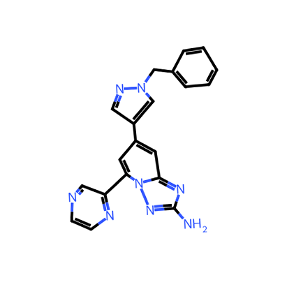 Nc1nc2cc(-c3cnn(Cc4ccccc4)c3)cc(-c3cnccn3)n2n1